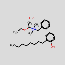 CCCCCCCCc1ccccc1O.CCOC(C)[N+](C)(C)Cc1ccccc1.O